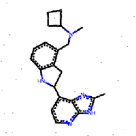 Cc1nc2c(C3Cc4c(CN(C)C5CCC5)cccc4N3)ccnc2[nH]1